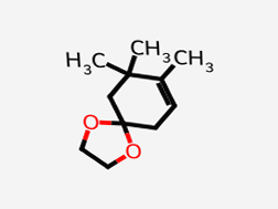 CC1=CCC2(CC1(C)C)OCCO2